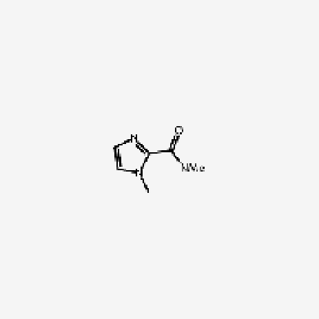 CNC(=O)c1nccn1C